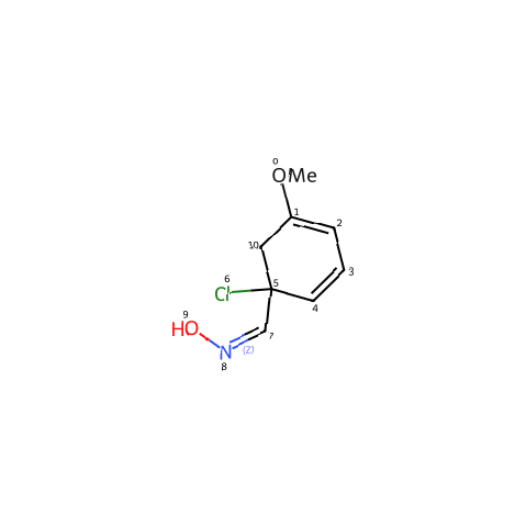 COC1=CC=CC(Cl)(/C=N\O)C1